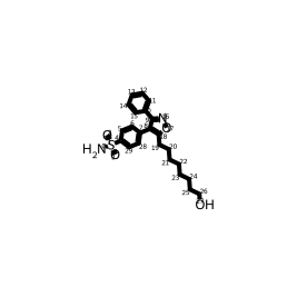 NS(=O)(=O)c1ccc(-c2c(-c3ccccc3)noc2CCCCCCCCO)cc1